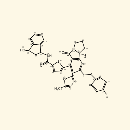 Cc1nnc(-c2c(CCc3ccc(F)cc3)nc3c(c2-c2ccc(C(=O)NC4CC(O)c5ccccc54)s2)C(=O)N2CCC[C@@H]32)o1